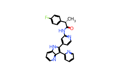 C[C@H](C(=O)Nc1cc(-c2[nH]c3cccnc3c2-c2ccccn2)ccn1)c1ccc(F)cc1